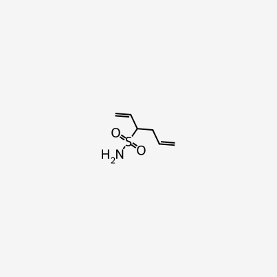 C=CCC(C=C)S(N)(=O)=O